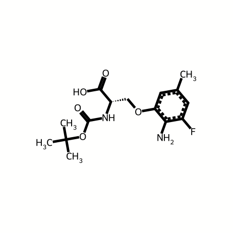 Cc1cc(F)c(N)c(OC[C@H](NC(=O)OC(C)(C)C)C(=O)O)c1